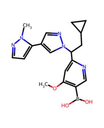 COc1cc(C(CC2CC2)n2cc(-c3ccnn3C)cn2)ncc1B(O)O